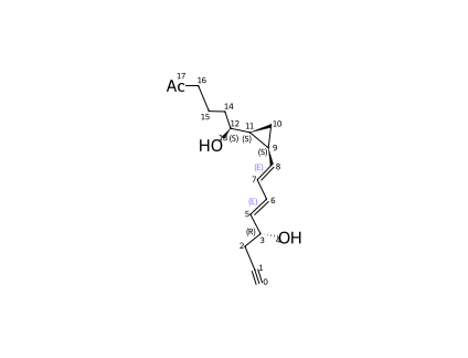 C#CC[C@@H](O)/C=C/C=C/[C@@H]1C[C@@H]1[C@@H](O)CCCC(C)=O